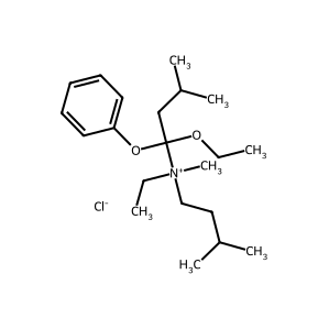 CCOC(CC(C)C)(Oc1ccccc1)[N+](C)(CC)CCC(C)C.[Cl-]